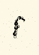 O=c1cc(OCc2ccc(Cl)cn2)ccn1-c1ccc(OCCN2CC[C@@H](OCCF)C2)cc1